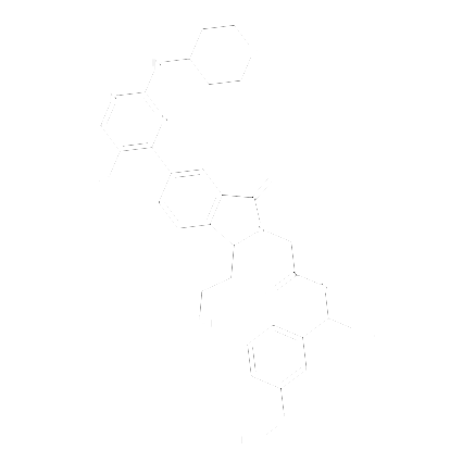 COc1cccc(C(C)NC(=O)CN2C(=O)c3cc(-c4nc(NC5CCOCC5)ncc4Cl)ccc3C2CCO)c1